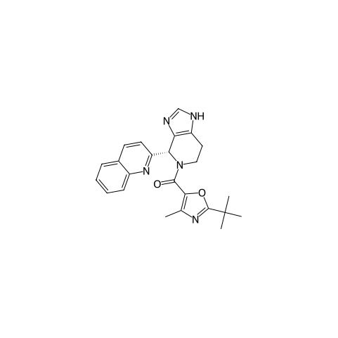 Cc1nc(C(C)(C)C)oc1C(=O)N1CCc2[nH]cnc2[C@H]1c1ccc2ccccc2n1